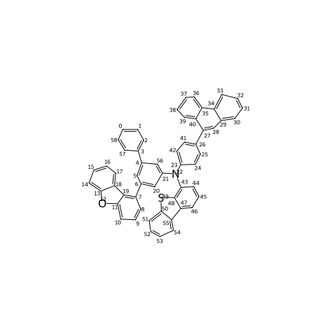 c1ccc(-c2cc(-c3cccc4oc5ccccc5c34)cc(N(c3ccc(-c4cc5ccccc5c5ccccc45)cc3)c3cccc4c3sc3ccccc34)c2)cc1